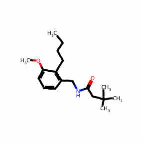 CCCCc1c(CNC(=O)CC(C)(C)C)cccc1OC